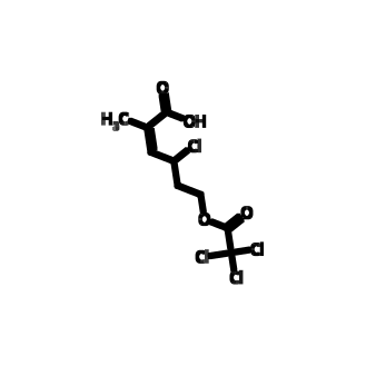 CC(=CC(Cl)CCOC(=O)C(Cl)(Cl)Cl)C(=O)O